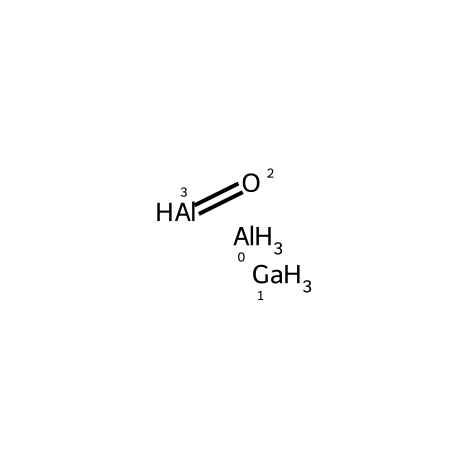 [AlH3].[GaH3].[O]=[AlH]